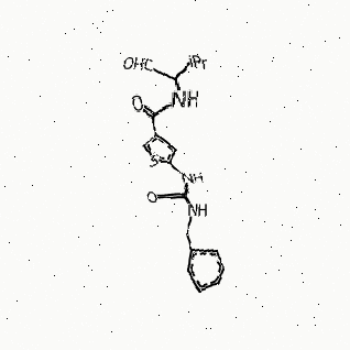 CC(C)C(C=O)NC(=O)c1csc(NC(=O)NCc2ccccc2)c1